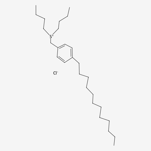 CCCCCCCCCCCCc1ccc(C[S+](CCCC)CCCC)cc1.[Cl-]